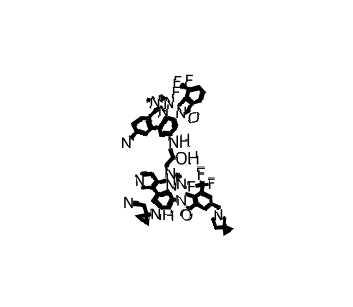 Cn1cnnc1-c1ccc(C#N)cc1-c1cc(NCC(O)Cn2cnnc2-c2ccncc2-c2cc(NC3(CC#N)CC3)cc(N3Cc4c(cc(CN5CCC6(CC6)C5)cc4C(F)(F)F)C3=O)c2)cc(N2Cc3c(cccc3C(F)(F)F)C2=O)c1